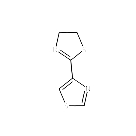 c1nc(C2=NCCS2)cs1